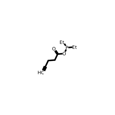 C#CCCC(=O)OP(CC)CC